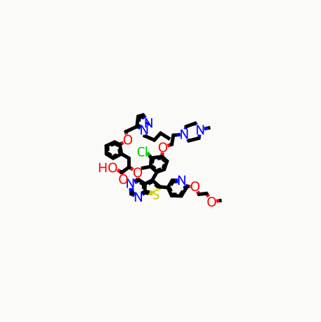 CCCCn1nccc1COc1ccccc1CC(Oc1ncnc2sc(-c3ccc(OCCOC)nc3)c(-c3ccc(OCCN4CCN(C)CC4)c(Cl)c3C)c12)C(=O)O